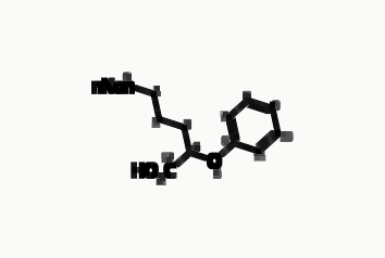 CCCCCCCCCCCCC(Oc1cc[c]cc1)C(=O)O